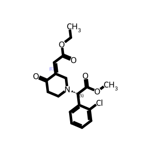 CCOC(=O)/C=C1\CN([C@H](C(=O)OC)c2ccccc2Cl)CCC1=O